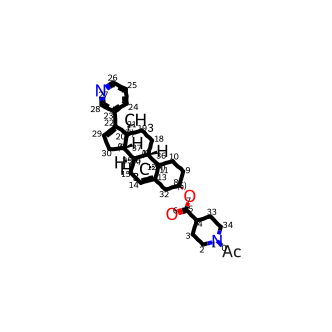 CC(=O)N1CCC(C(=O)O[C@H]2CC[C@@]3(C)C(=CC[C@@H]4[C@@H]3CC[C@]3(C)C(c5cccnc5)=CC[C@@H]43)C2)CC1